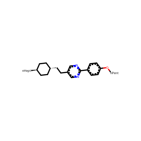 CCCCCCC[C@H]1CC[C@H](CCc2cnc(-c3ccc(OCCCCC)cc3)nc2)CC1